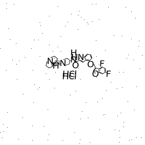 Cl.Cl.O=C(NC1CCN(C[C@@H]2CCCN3CCCC[C@H]23)CC1)c1cc2c(OCc3coc4cc(F)cc(F)c34)cccc2[nH]1